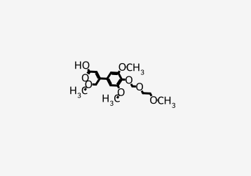 COCCOCOc1c(OC)cc(C(=CC(=O)O)COC)cc1OC